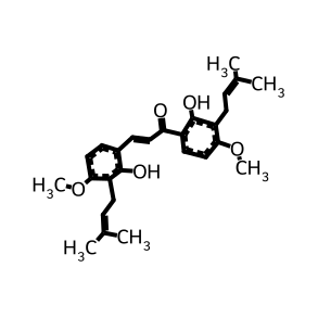 COc1ccc(C=CC(=O)c2ccc(OC)c(CC=C(C)C)c2O)c(O)c1CC=C(C)C